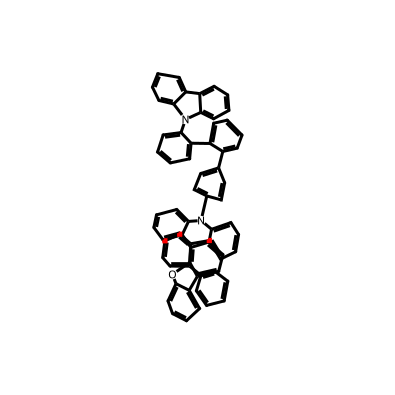 c1ccc(-c2ccccc2-c2ccccc2N(c2ccc(-c3ccccc3-c3ccccc3-n3c4ccccc4c4ccccc43)cc2)c2ccccc2-c2cccc3c2oc2ccccc23)cc1